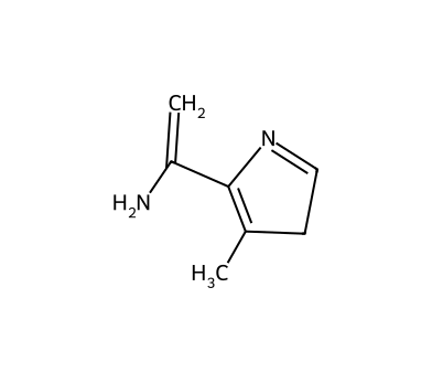 C=C(N)C1=C(C)CC=N1